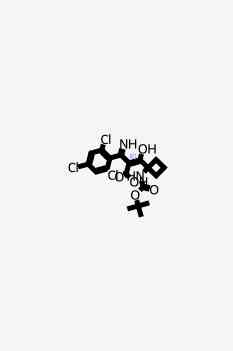 CC(C)(C)OC(=O)NC1(/C(O)=C(/C(=N)c2c(Cl)cc(Cl)cc2Cl)C(=O)O)CCC1